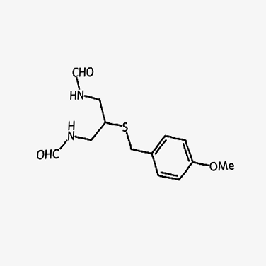 COc1ccc(CSC(CNC=O)CNC=O)cc1